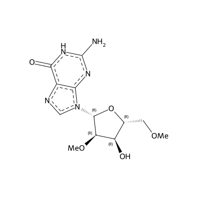 COC[C@H]1O[C@@H](n2cnc3c(=O)[nH]c(N)nc32)[C@H](OC)[C@@H]1O